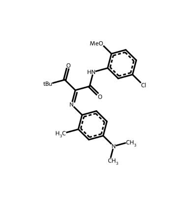 COc1ccc(Cl)cc1NC(=O)/C(=N\c1ccc(N(C)C)cc1C)C(=O)C(C)(C)C